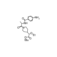 CCOC(C(=O)OC(C)(C)C)C1CCN(C(=O)C(C)NC(=O)c2ccc(N)cc2)CC1